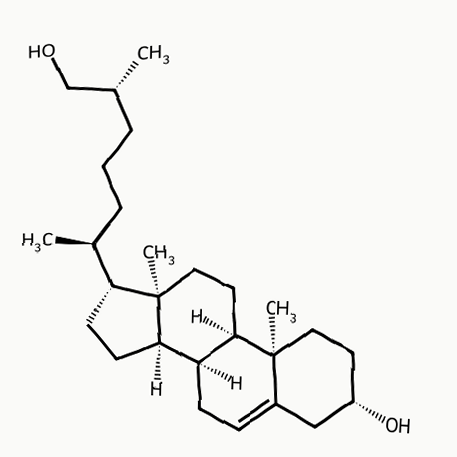 C[C@@H](CO)CCC[C@H](C)[C@H]1CC[C@@H]2[C@@H]3CC=C4C[C@@H](O)CC[C@]4(C)[C@@H]3CC[C@@]21C